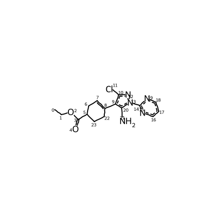 CCOC(=O)C1CC=C(c2c(Cl)nn(-c3ncccn3)c2N)CC1